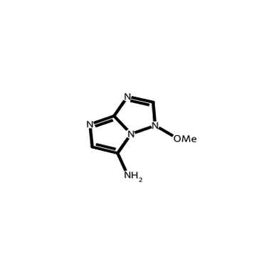 COn1cnc2ncc(N)n21